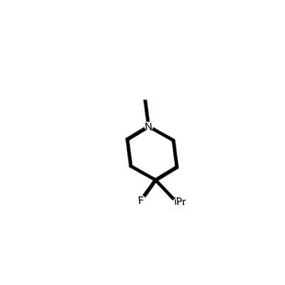 CC(C)C1(F)CCN(C)CC1